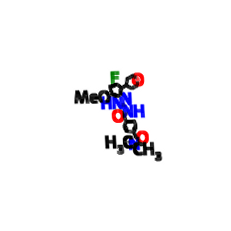 COc1cc(F)c(C2CCOCC2)c2nc(NC(=O)c3ccc(C(=O)N(C)C)cc3)[nH]c12